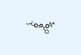 NC(=O)Cc1ccc(-c2ccc(C(CC3CCOCC3)c3ccc(S(=O)(=O)C4CC4)cc3)[nH]2)nc1